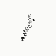 Cc1c(Nc2nccc3cc(CNC[C@@H](C)O)cnc23)cccc1-c1cccc(-c2nc3cc(CN4CCCCC4)cc(C#N)c3o2)c1C